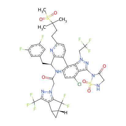 CC(C)(CCc1ccc(-c2ccc(Cl)c3c(N4C(=O)CNS4(=O)=O)nn(CC(F)(F)F)c23)c([C@H](Cc2cc(F)cc(F)c2)NC(=O)Cn2nc(C(F)(F)F)c3c2C(F)(F)[C@@H]2CC32)n1)S(C)(=O)=O